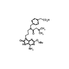 CCCCOc1nc(N)c2[nH]c(=O)n(CCCN(Cc3ccc(CC(=O)O)cc3)C(=O)CN(C)C)c2n1